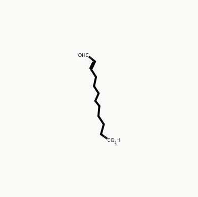 O=CC=CCCCCCCCCC(=O)O